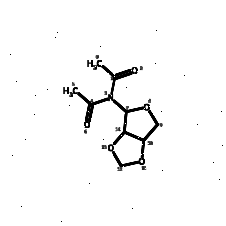 CC(=O)N(C(C)=O)C1OCC2OCOC21